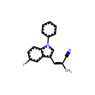 C/C(C#N)=C/c1cn(-c2ccccc2)c2ccc(F)cc12